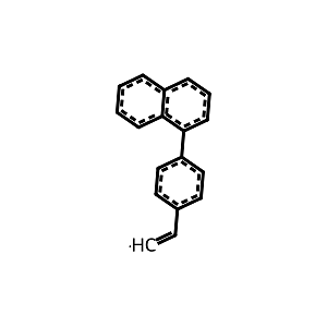 [CH]=Cc1ccc(-c2cccc3ccccc23)cc1